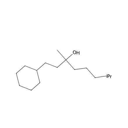 CC(C)CCCC(C)(O)CCC1CCCCC1